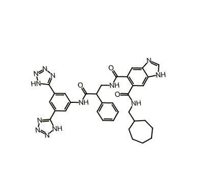 O=C(NCC1CCCCCC1)c1cc2[nH]cnc2cc1C(=O)NCC(C(=O)Nc1cc(-c2nnn[nH]2)cc(-c2nnn[nH]2)c1)c1ccccc1